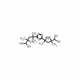 CC(C)(CC(C)(C)C(S)S)c1nnc(C(C)(C)CC(C)(C)C(S)S)s1